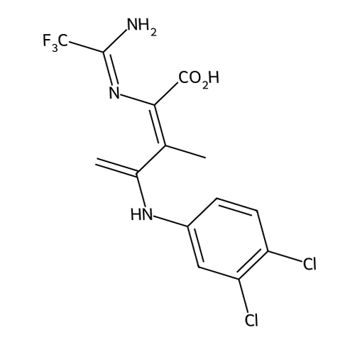 C=C(Nc1ccc(Cl)c(Cl)c1)/C(C)=C(\N=C(/N)C(F)(F)F)C(=O)O